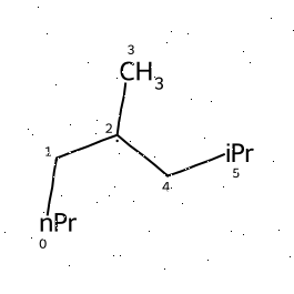 CCCC[C](C)CC(C)C